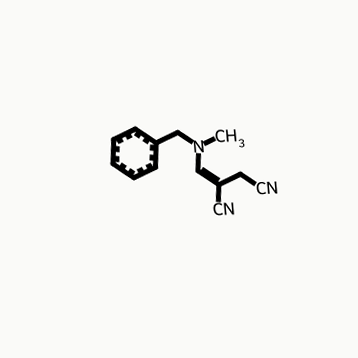 CN(C=C(C#N)CC#N)Cc1ccccc1